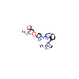 CN1CCC(c2cccc3ccc(-n4cnc5cc(OCC6(C)COC6)ccc54)nc23)C1